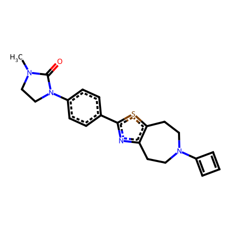 CN1CCN(c2ccc(-c3nc4c(s3)CCN(C3=CC=C3)CC4)cc2)C1=O